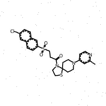 Cc1cc(N2CCC3(CC2)SCCN3C(=O)CCS(=O)(=O)c2ccc3cc(Cl)ccc3c2)ccn1